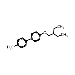 CCC(CC)COc1ccc(-c2ccc(C)cc2)cc1